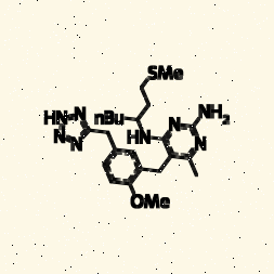 CCCCC(CCSC)Nc1nc(N)nc(C)c1Cc1cc(Cc2nn[nH]n2)ccc1OC